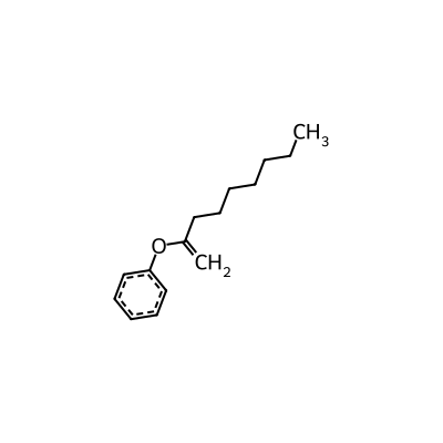 C=C(CCCCCCC)Oc1ccccc1